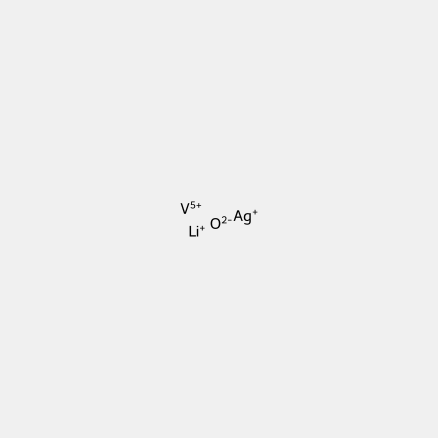 [Ag+].[Li+].[O-2].[V+5]